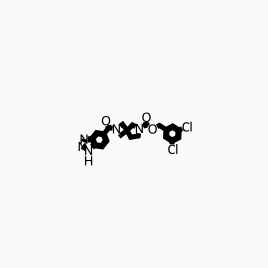 O=C(OCc1cc(Cl)cc(Cl)c1)N1CCC2(C1)CN(C(=O)c1ccc3[nH]nnc3c1)C2